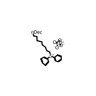 CCCCCCCCCCCCCCCCCC[S+](c1ccccc1)c1ccccc1.[O-][Cl+3]([O-])([O-])[O-]